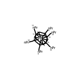 CCC[C]12[CH]3[CH]4[CH]5[CH]1[Fe]45321678[C]2(CCC)[C]1(CCC)[C]6(CCC)[C]7(CCC)[C]28CCC